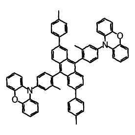 Cc1ccc(-c2ccc3c(-c4ccc(N5c6ccccc6Oc6ccccc65)cc4C)c4cc(-c5ccc(C)cc5)ccc4c(-c4ccc(N5c6ccccc6Oc6ccccc65)cc4C)c3c2)cc1